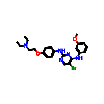 CCN(CC)CCOc1ccc(Nc2ncc(Br)c(Nc3cccc(OC)c3)n2)cc1